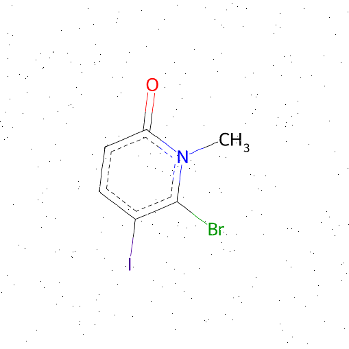 Cn1c(Br)c(I)ccc1=O